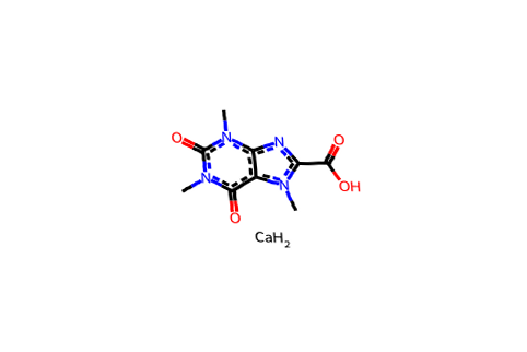 Cn1c(=O)c2c(nc(C(=O)O)n2C)n(C)c1=O.[CaH2]